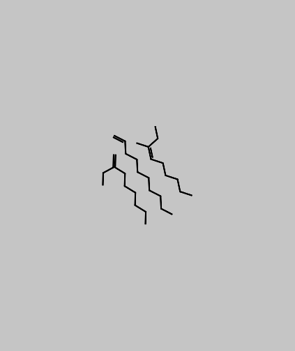 C=C(CC)CCCCCC.C=CCCCCCCCC.CCCCCC=C(C)CC